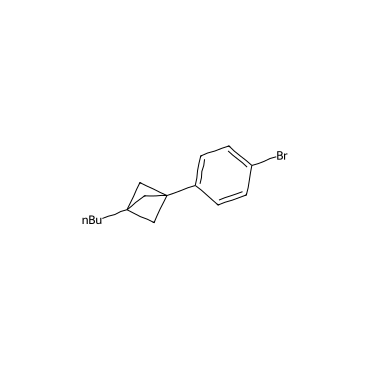 CCCCC12CC(c3ccc(Br)cc3)(C1)C2